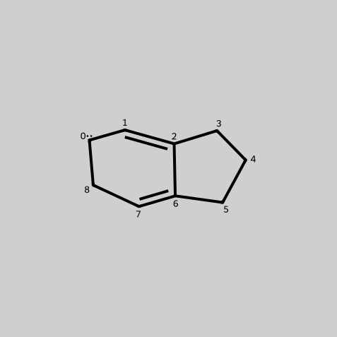 [C]1C=C2CCCC2=CC1